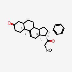 C[C@]12CC=C3C(CCC4CC(=O)CC[C@]34C)C1C[C@H](c1ccccc1)[C@@H]2C(=O)CN=O